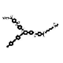 C#Cc1ccc(C#Cc2ccc(C#CC3(OC(=O)c4ccc(OC(=O)C5CCC(C(=O)OCCCCCCCC)CC5)cc4)CCC(c4ccc(OC(=O)C5CCC(C(=O)OCCCCCCOC(=O)C=C)CC5)cc4)CC3)cc2)cc1